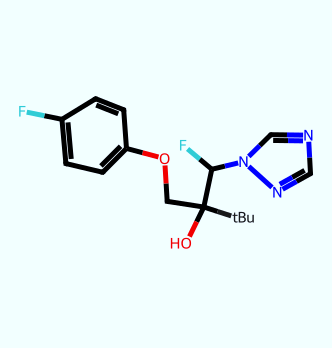 CC(C)(C)C(O)(COc1ccc(F)cc1)C(F)n1cncn1